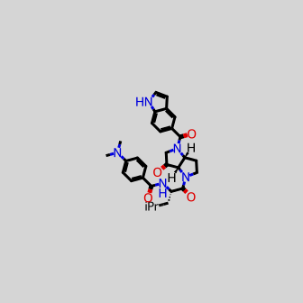 CC(C)C[C@H](NC(=O)c1ccc(N(C)C)cc1)C(=O)N1CC[C@@H]2[C@H]1C(=O)CN2C(=O)c1ccc2[nH]ccc2c1